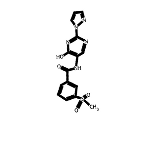 CS(=O)(=O)c1cccc(C(=O)Nc2cnc(-n3cccn3)nc2O)c1